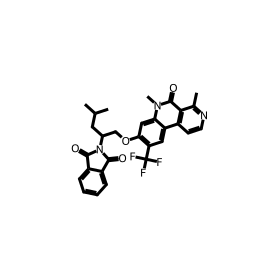 Cc1nccc2c1c(=O)n(C)c1cc(OCC(CC(C)C)N3C(=O)c4ccccc4C3=O)c(C(F)(F)F)cc21